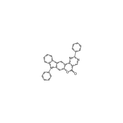 O=c1oc2cc3c(cc2c2nc(-c4ccccc4)ncc12)c1ccccc1n3-c1ccccc1